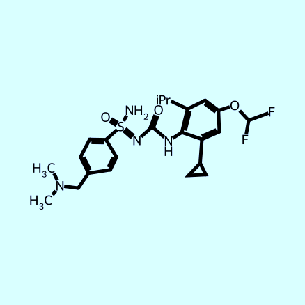 CC(C)c1cc(OC(F)F)cc(C2CC2)c1NC(=O)N=S(N)(=O)c1ccc(CN(C)C)cc1